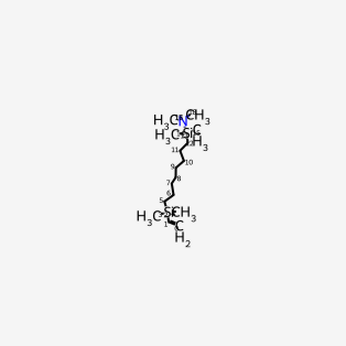 C=C[Si](C)(C)CCCCCCCC[Si](C)(C)N(C)C